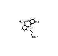 COCCCNC1c2cc(Cl)ccc2SN(C)c2ccccc21